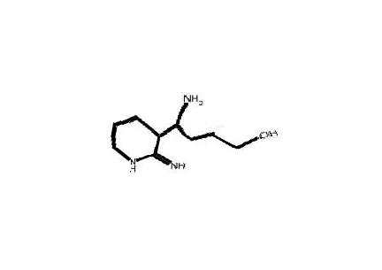 N=C1NCCCC1C(N)CCCO